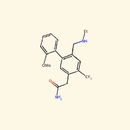 CCNCc1cc(C(F)(F)F)c(CC(N)=O)cc1-c1ccccc1OC